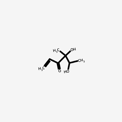 C=CC(=O)C(C)(O)C(C)O